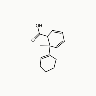 CC1(C2=CCCCC2)C=CC=CC1C(=O)O